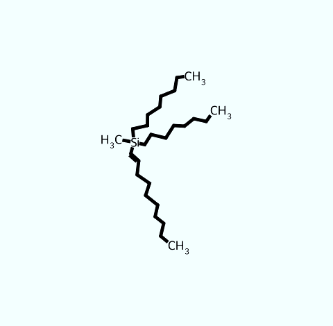 CCCCCCCCC=C[Si](C)(CCCCCCCC)CCCCCCCC